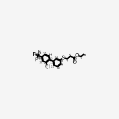 CCOC(=O)CCSc1cccc(-c2ccc(C(F)(F)F)cc2Cl)c1